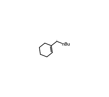 CCCC[CH]C1=CCCCC1